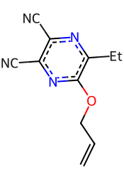 C=CCOc1nc(C#N)c(C#N)nc1CC